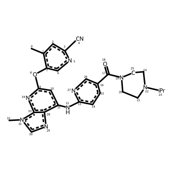 Cc1cc(C#N)ncc1Oc1cc(Nc2ccc(C(=O)N3CCN(C(C)C)CC3)cn2)c2ncn(C)c2n1